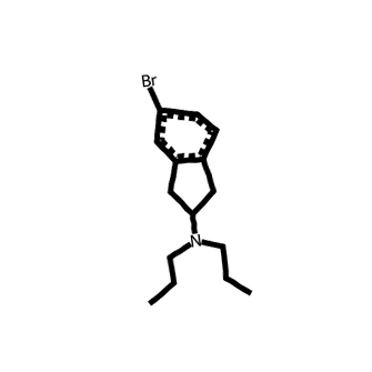 CCCN(CCC)C1Cc2ccc(Br)cc2C1